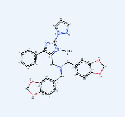 CCCCn1c(-n2cccn2)nc(-c2ccccc2)c1CN(Cc1ccc2c(c1)OCO2)Cc1ccc2c(c1)OCO2